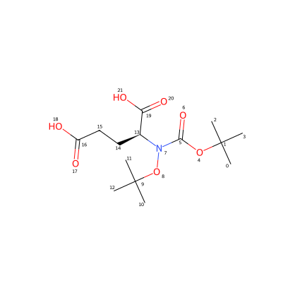 CC(C)(C)OC(=O)N(OC(C)(C)C)[C@@H](CCC(=O)O)C(=O)O